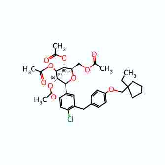 CCC1(COc2ccc(Cc3cc(C4O[C@H](COC(C)=O)[C@@H](OC(C)=O)[C@H](OC(C)=O)[C@H]4OC(C)=O)ccc3Cl)cc2)CCCC1